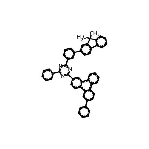 CC1(C)c2ccccc2-c2ccc(-c3cccc(-c4nc(-c5ccccc5)nc(-c5ccc6c7cc(-c8ccccc8)ccc7c7ccccc7c6c5)n4)c3)cc21